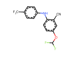 N#Cc1cc(OC(F)F)ccc1Nc1ccc(C(F)(F)F)cc1